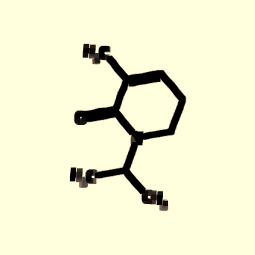 CC1=CCCN(C(C)C)C1=O